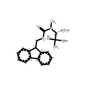 CSC(C)(C)[C@@H](C(=O)O)N(C)C(=O)OCC1c2ccccc2-c2ccccc21